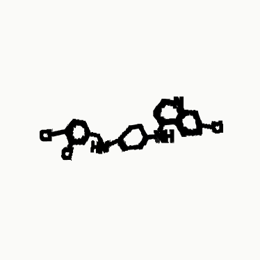 Clc1ccc2c(NC3CCC(NCc4ccc(Cl)c(Cl)c4)CC3)ccnc2c1